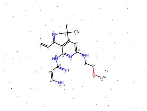 C=CC(=N)c1c(C(C)(C)C#N)cc(NCCOCCC)nc1NC(=N)/C=C\N